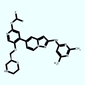 Cc1cc(Nc2cc3cc(-c4cc(OC(F)F)ncc4OC[C@@H]4CNCCO4)ccn3n2)nc(C)n1